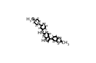 Cc1nc2ccc(-c3c[nH]c4nc(Nc5ccnc(N6CCN(C)CC6)c5)ncc34)cc2s1